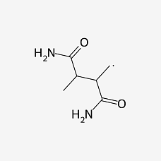 [CH2]C(C(N)=O)C(C)C(N)=O